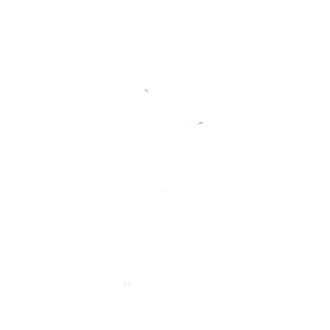 CCCCCc1ccc(OC(=O)CCC2CCC[C@H]([C@H]3CC[C@H](CCCCC)CC3)C2)cc1F